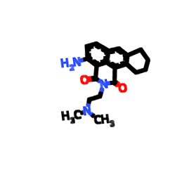 CN(C)CCN1C(=O)c2c(N)ccc3cc4c(c(c23)C1=O)CCCC4